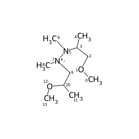 COCC(C)N(C)[N+](C)CC(C)OC